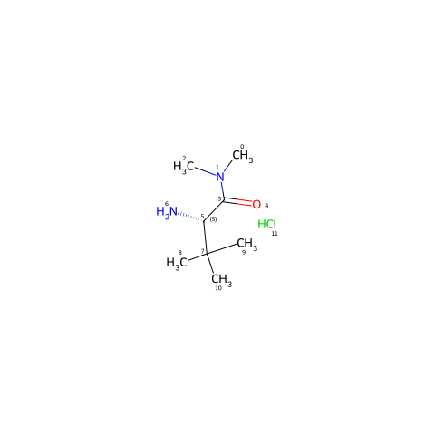 CN(C)C(=O)[C@@H](N)C(C)(C)C.Cl